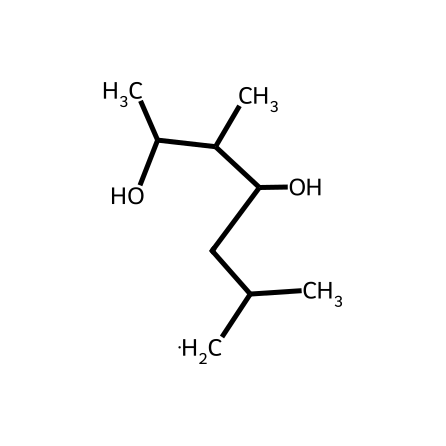 [CH2]C(C)CC(O)C(C)C(C)O